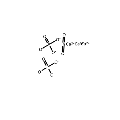 O=P([O-])([O-])[O-].O=P([O-])([O-])[O-].[Ca+2].[Ca+2].[Ca+2].[O]=[Ti]=[O]